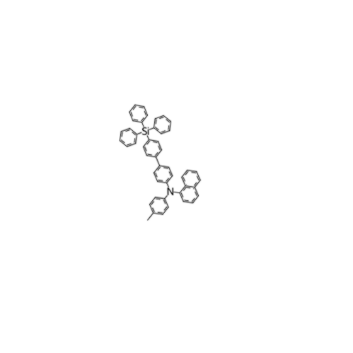 Cc1ccc(N(c2ccc(-c3ccc([Si](c4ccccc4)(c4ccccc4)c4ccccc4)cc3)cc2)c2cccc3ccccc23)cc1